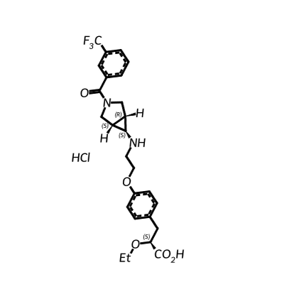 CCO[C@@H](Cc1ccc(OCCN[C@H]2[C@@H]3CN(C(=O)c4cccc(C(F)(F)F)c4)C[C@@H]32)cc1)C(=O)O.Cl